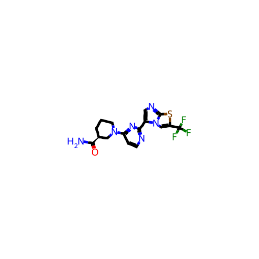 NC(=O)[C@H]1CCCN(c2ccnc(-c3cnc4sc(C(F)(F)F)cn34)n2)C1